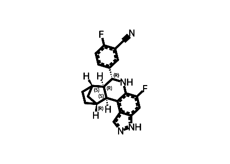 N#Cc1cc([C@@H]2Nc3c(F)cc4[nH]ncc4c3[C@H]3[C@@H]4CC[C@@H](C4)[C@H]32)ccc1F